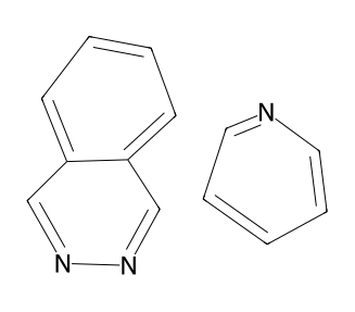 c1ccc2cnncc2c1.c1ccncc1